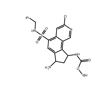 CC(C)CNS(=O)(=O)c1cc2c(c3cnc(Cl)cc13)C(NC(=O)OC(C)(C)C)CC2N